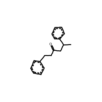 CC(CC(=O)CCc1ccccc1)c1ccccc1